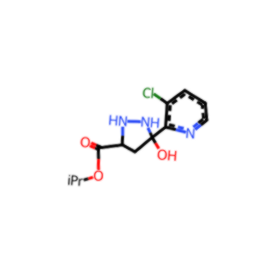 CC(C)OC(=O)C1CC(O)(c2ncccc2Cl)NN1